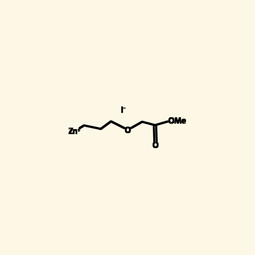 COC(=O)COCC[CH2][Zn+].[I-]